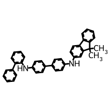 CC1(C)c2ccccc2-c2ccc(Nc3ccc(-c4ccc(Nc5ccccc5-c5ccccc5)cc4)cc3)cc21